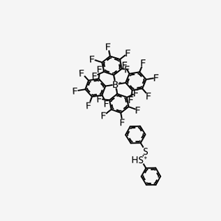 Fc1c(F)c(F)c([B-](c2c(F)c(F)c(F)c(F)c2F)(c2c(F)c(F)c(F)c(F)c2F)c2c(F)c(F)c(F)c(F)c2F)c(F)c1F.c1ccc(S[SH+]c2ccccc2)cc1